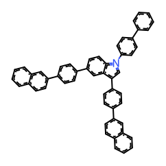 c1ccc(-c2ccc(-n3cc(-c4ccc(-c5ccc6ccccc6c5)cc4)c4cc(-c5ccc(-c6ccc7ccccc7c6)cc5)ccc43)cc2)cc1